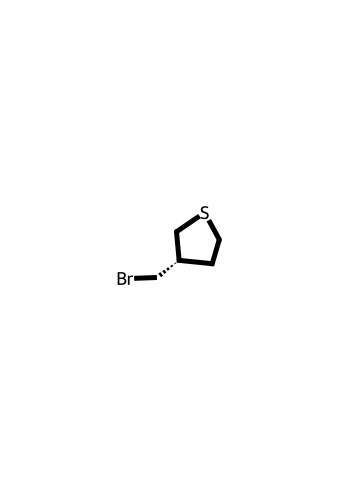 BrC[C@H]1CCSC1